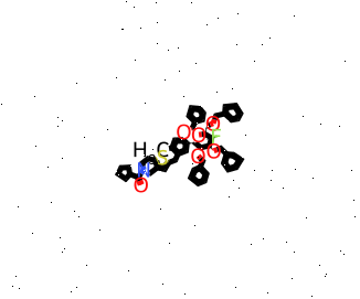 Cc1cc(OCc2ccccc2)c([C@@H]2O[C@H](COCc3ccccc3)[C@@H](F)[C@H](OCc3ccccc3)[C@H]2OCc2ccccc2)cc1Cc1cc2c(s1)CCN(C(=O)C1CCCC1)C2